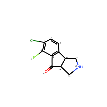 O=C1c2c(ccc(Cl)c2F)C2CNCC12